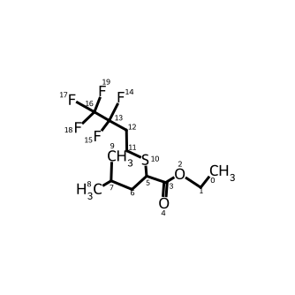 CCOC(=O)C(CC(C)C)SCCC(F)(F)C(F)(F)F